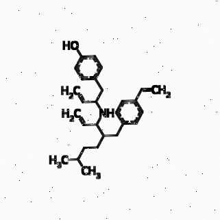 C=Cc1ccc(CC(CCC(C)C)C(C=C)NC(C=C)Cc2ccc(O)cc2)cc1